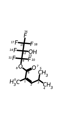 CC(=CC(C)C)C(=O)OC(F)(F)C(O)(F)C(F)(F)F